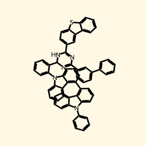 c1ccc(-c2cccc(C3=NC(c4ccccc4-n4c5ccccc5c5c(-c6cccc7c6c6ccccc6n7-c6ccccc6)cccc54)NC(c4ccc5sc6ccccc6c5c4)=N3)c2)cc1